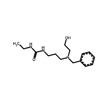 CCNC(=O)NCCCN(CCO)Cc1ccccc1